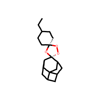 CCC1CC[C@]2(CC1)OO[C@]1(O2)C2CC3CC4CC1CC34C2